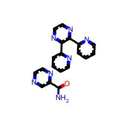 NC(=O)c1cnccn1.c1ccc(-c2nccnc2-c2ccccn2)nc1